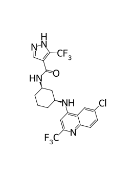 O=C(N[C@@H]1CCC[C@H](Nc2cc(C(F)(F)F)nc3ccc(Cl)cc23)C1)c1cn[nH]c1C(F)(F)F